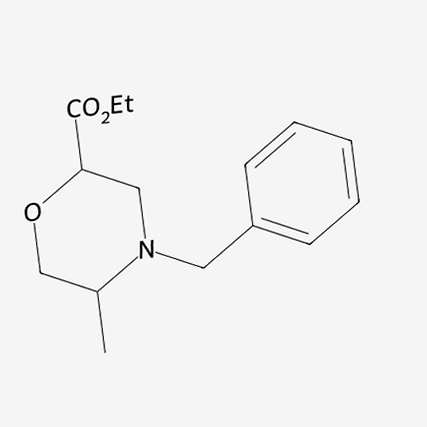 CCOC(=O)C1CN(Cc2ccccc2)C(C)CO1